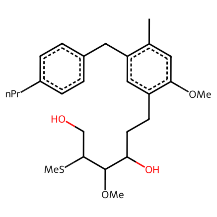 CCCc1ccc(Cc2cc(CCC(O)C(OC)C(CO)SC)c(OC)cc2C)cc1